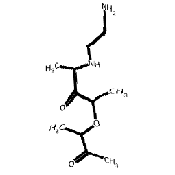 CC(=O)C(C)OC(C)C(=O)C(C)NCCN